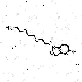 OCCOCCOCCOB1OCc2cc(F)ccc21